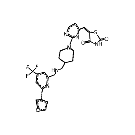 O=C1NC(=O)/C(=C\c2ccnc(N3CCC(CNCc4cc(C(F)(F)F)cc(-c5ccoc5)n4)CC3)n2)S1